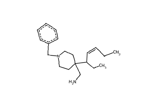 CC/C=C\C(CC)C1(CN)CCN(Cc2ccccc2)CC1